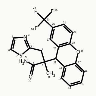 CC(Cc1nccs1)(C(N)=O)C1c2ccccc2Oc2ccc(C(F)(F)F)cc21